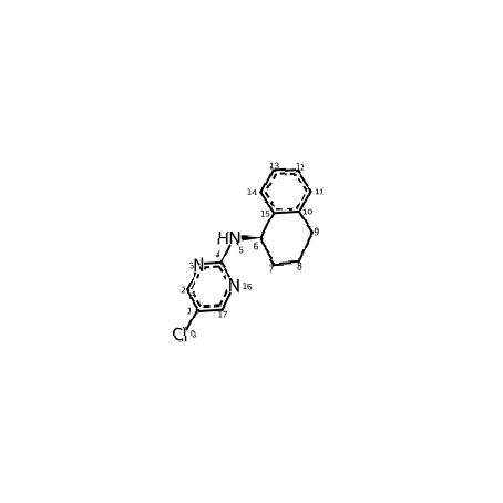 Clc1cnc(N[C@@H]2CCCc3ccccc32)nc1